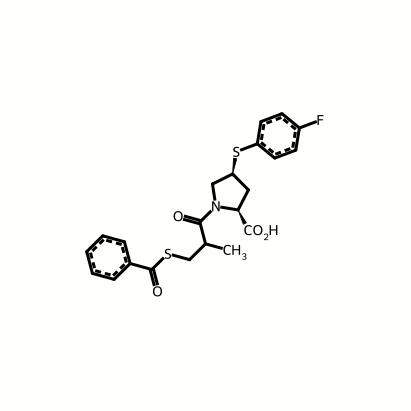 CC(CSC(=O)c1ccccc1)C(=O)N1C[C@@H](Sc2ccc(F)cc2)C[C@H]1C(=O)O